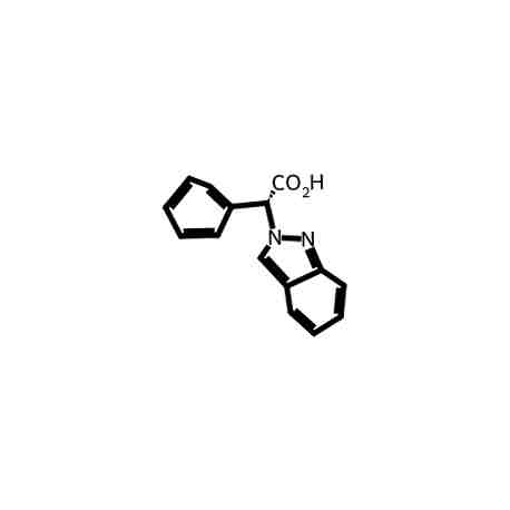 O=C(O)[C@@H](c1ccccc1)n1cc2ccccc2n1